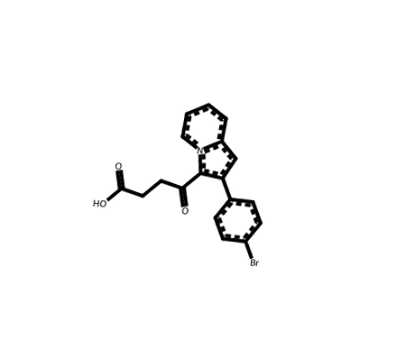 O=C(O)CCC(=O)c1c(-c2ccc(Br)cc2)cc2ccccn12